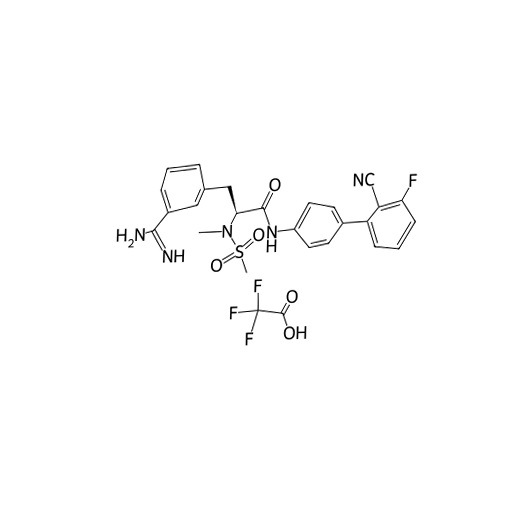 CN([C@@H](Cc1cccc(C(=N)N)c1)C(=O)Nc1ccc(-c2cccc(F)c2C#N)cc1)S(C)(=O)=O.O=C(O)C(F)(F)F